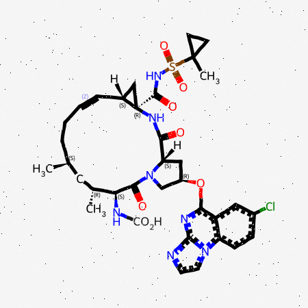 C[C@H]1CC/C=C\[C@@H]2C[C@@]2(C(=O)NS(=O)(=O)C2(C)CC2)NC(=O)[C@@H]2C[C@@H](Oc3nc4nccn4c4ccc(Cl)cc34)CN2C(=O)[C@@H](NC(=O)O)[C@H](C)C1